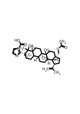 C=C(C)[C@@H]1CC[C@]2(COC(C)=O)CC[C@]3(C)[C@H](CC[C@@H]4[C@@]5(C)CC[C@H](c6nccn6C(=O)O)C(C)(C)[C@@H]5CC[C@]43C)[C@@H]12